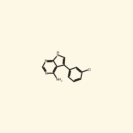 Nc1ncnc2[nH]cc(-c3cccc(Cl)c3)c12